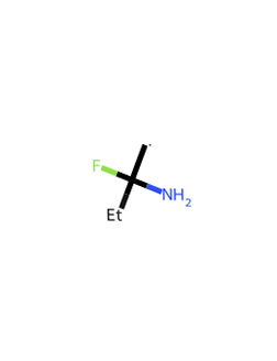 [CH2]C(N)(F)CC